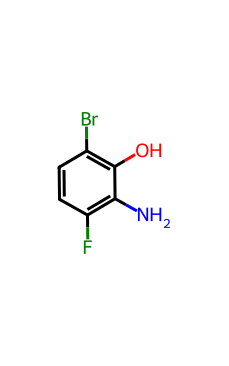 Nc1c(F)ccc(Br)c1O